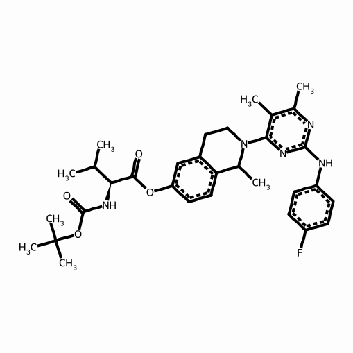 Cc1nc(Nc2ccc(F)cc2)nc(N2CCc3cc(OC(=O)[C@@H](NC(=O)OC(C)(C)C)C(C)C)ccc3C2C)c1C